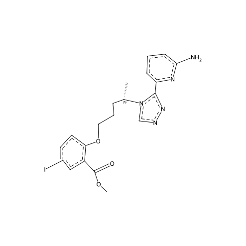 COC(=O)c1cc(I)ccc1OCCC[C@H](C)n1cnnc1-c1cccc(N)n1